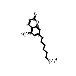 Cc1cc(CCCCCCC(=O)O)cc2oc(=O)ccc12